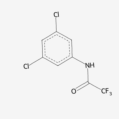 O=C(Nc1cc(Cl)cc(Cl)c1)C(F)(F)F